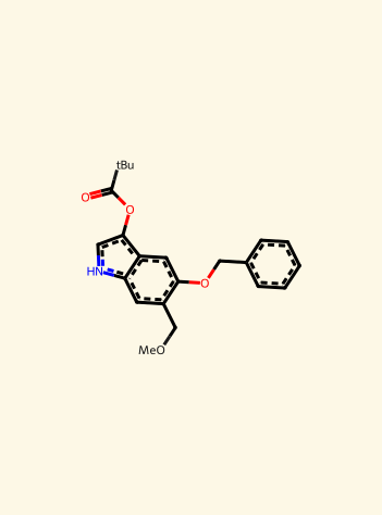 COCc1cc2[nH]cc(OC(=O)C(C)(C)C)c2cc1OCc1ccccc1